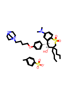 CCCCC1(CCCC)CS(=O)(=O)c2ccc(N(C)C)cc2[C@@H](c2ccc(OCCCC[N+]34CCN(CC3)CC4)cc2)[C@H]1O.Cc1ccc(S(=O)(=O)[O-])cc1